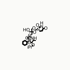 CC(C)OC(=O)C(C)NP(=O)(OCC1(CO)COC(n2ccc(=O)[nH]c2=O)O1)Oc1ccccc1